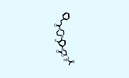 CC(=S)NC[C@H]1CN(c2ccc(N3CCN(C(=O)CCc4ccccc4)CC3)c(F)c2)C(=O)O1